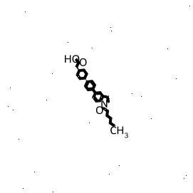 CCCCCCC(=O)N1CCc2cc(-c3ccc([C@H]4CC[C@H](CC(=O)O)CC4)cc3)ccc21